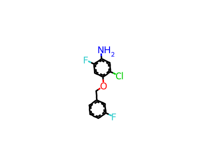 Nc1cc(Cl)c(OCc2cccc(F)c2)cc1F